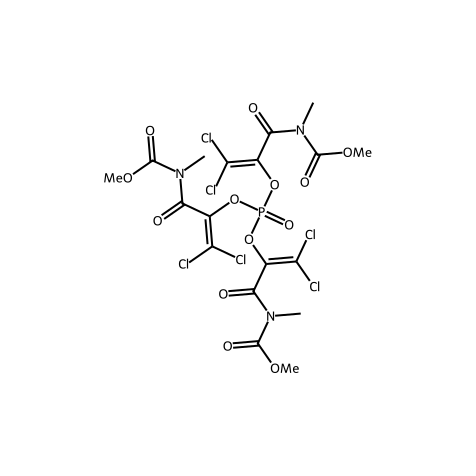 COC(=O)N(C)C(=O)C(OP(=O)(OC(C(=O)N(C)C(=O)OC)=C(Cl)Cl)OC(C(=O)N(C)C(=O)OC)=C(Cl)Cl)=C(Cl)Cl